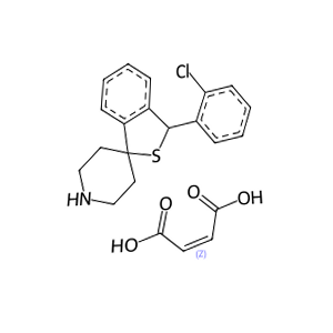 Clc1ccccc1C1SC2(CCNCC2)c2ccccc21.O=C(O)/C=C\C(=O)O